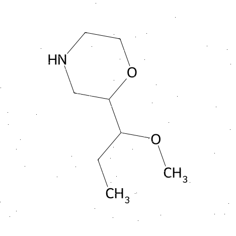 CCC(OC)C1CNCCO1